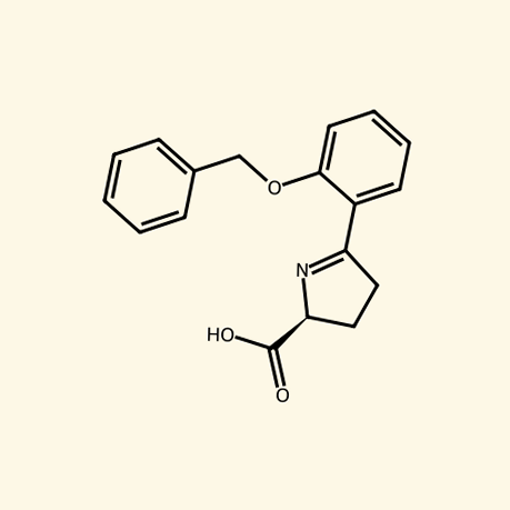 O=C(O)[C@@H]1CCC(c2ccccc2OCc2ccccc2)=N1